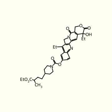 CCOC(=O)C(C)CCC1CCN(C(=O)Oc2ccc3nc4c(c(CC)c3c2)Cn2c-4cc3c(c2=O)COC(=O)C3(O)CC)CC1